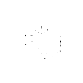 O=C1N[C@@H]2CCCCCCCCC[C@H]12